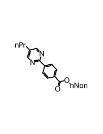 CCCCCCCCCOC(=O)c1ccc(-c2ncc(CCC)cn2)cc1